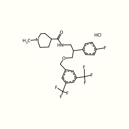 CN1CCC(C(=O)NCC(COCc2cc(C(F)(F)F)cc(C(F)(F)F)c2)c2ccc(F)cc2)CC1.Cl